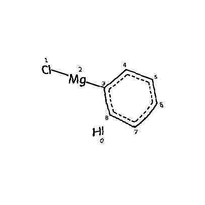 I.[Cl][Mg][c]1ccccc1